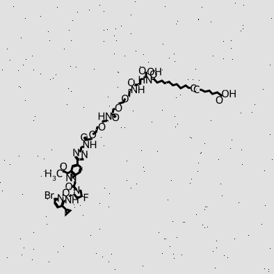 CC(=O)c1nn(CC(=O)N2C[C@H](F)C[C@H]2C(=O)Nc2nc(Br)ccc2C2CC2)c2ccc(-c3cnc(CNC(=O)COCCOCCNC(=O)COCCOCCNC(=O)CC[C@H](NC(=O)CCCCCCCCCCCCCCCCC(=O)O)C(=O)O)nc3)cc12